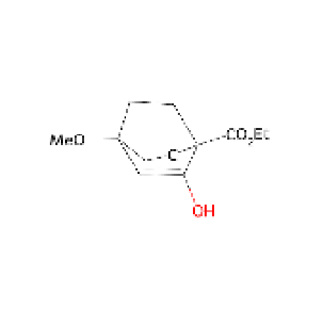 CCOC(=O)C12CCC(OC)(C=C1O)CC2